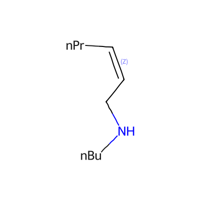 CCC/C=C\CNCCCC